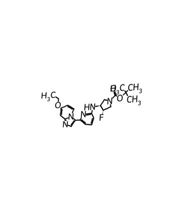 CCOc1ccn2c(-c3cccc(N[C@H]4CN(C(=O)OC(C)(C)C)C[C@@H]4F)n3)cnc2c1